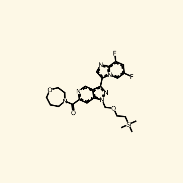 C[Si](C)(C)CCOCn1nc(-c2cnc3c(F)cc(F)cn23)c2cnc(C(=O)N3CCCOCC3)cc21